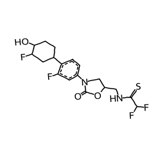 O=C1OC(CNC(=S)C(F)F)CN1c1ccc(C2CCC(O)C(F)C2)c(F)c1